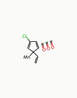 C=C[C]1([Mn])C=CC(Cl)=C1.[C]=O.[C]=O.[C]=O